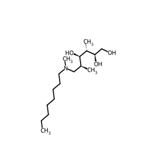 CCCCCCCCN(C)C[C@H](C)[C@@H](O)[C@H](C)[C@H](O)CO